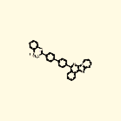 C/C(=N\c1ccccc1C)c1ccc(-c2ccc(-c3nc4c(nc5ccccn54)c4ccccc34)cc2)cc1